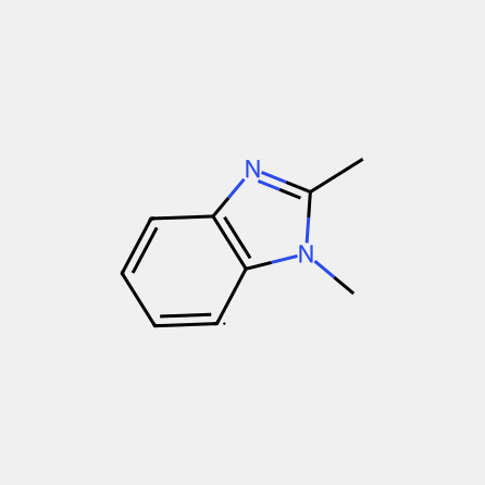 Cc1nc2ccc[c]c2n1C